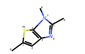 Cc1cc2nc(C)n(C)c2s1